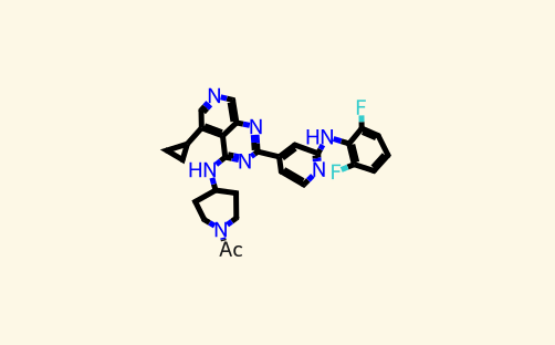 CC(=O)N1CCC(Nc2nc(-c3ccnc(Nc4c(F)cccc4F)c3)nc3cncc(C4CC4)c23)CC1